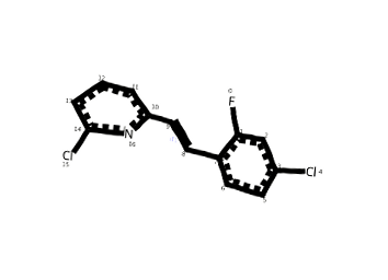 Fc1cc(Cl)ccc1/C=C/c1cccc(Cl)n1